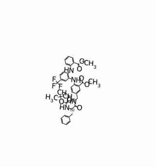 COC(=O)c1ccccc1Nc1ccc(C(F)(F)F)cc1Nc1ccc(CNC(=O)[C@H](Cc2ccccc2)NC(=O)OC(C)(C)C)cc1C(=O)OC